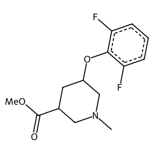 COC(=O)C1CC(Oc2c(F)cccc2F)CN(C)C1